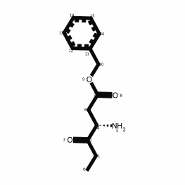 CCC(=O)[C@@H](N)CC(=O)OCc1ccccc1